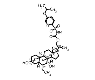 CC[C@H]1[C@@H](O)[C@@H]2[C@H](CC[C@]3(C)[C@@H]([C@H](C)COC(=O)NS(=O)(=O)c4ccc(OC(C)C)cn4)CC[C@@H]23)[C@@]2(C)CC[C@H](O)C[C@@H]12